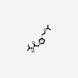 CC(C)NC(=O)CN1CC[C@@H](CCOC(C)C)C1